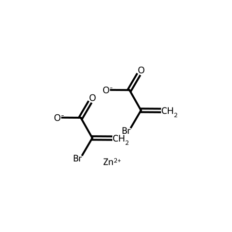 C=C(Br)C(=O)[O-].C=C(Br)C(=O)[O-].[Zn+2]